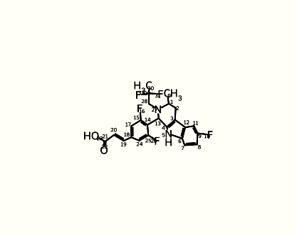 CC1Cc2c([nH]c3ccc(F)cc23)C(c2c(F)cc(/C=C/C(=O)O)cc2F)N1CC(C)(F)F